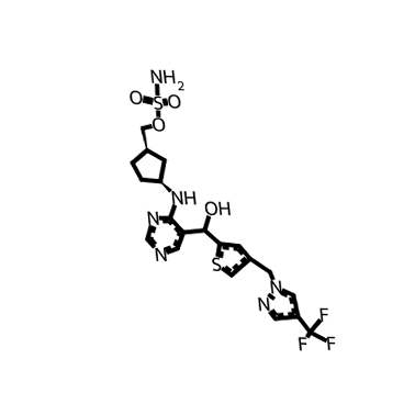 NS(=O)(=O)OC[C@@H]1CC[C@H](Nc2ncncc2C(O)c2cc(Cn3cc(C(F)(F)F)cn3)cs2)C1